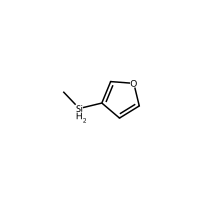 C[SiH2]c1ccoc1